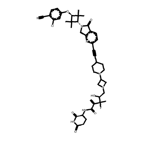 C=C(C(=O)NC1CCC(=O)NC1=O)C(C)(F)C(O)CN1CC(N2CCC(C#Cc3ccc4c(n3)CN([C@H]3C(C)(C)[C@H](Oc5ccc(C#N)c(Cl)c5)C3(C)C)C4=O)CC2)C1